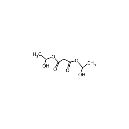 CC(O)OC(=O)CC(=O)OC(C)O